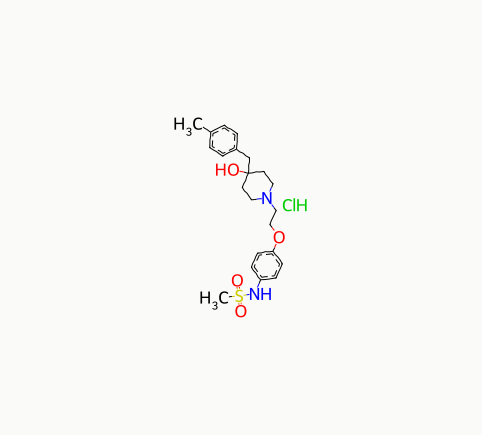 Cc1ccc(CC2(O)CCN(CCOc3ccc(NS(C)(=O)=O)cc3)CC2)cc1.Cl